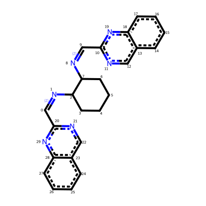 C(=N/C1CCCCC1/N=C\c1ncc2ccccc2n1)/c1ncc2ccccc2n1